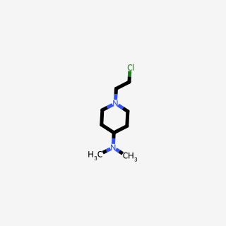 CN(C)C1CCN(CCCl)CC1